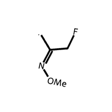 [CH2]C(CF)=NOC